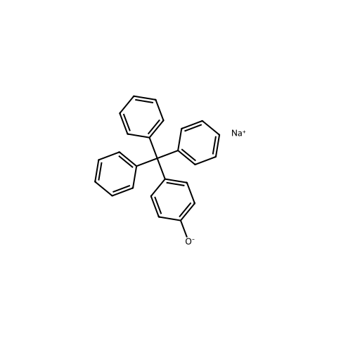 [Na+].[O-]c1ccc(C(c2ccccc2)(c2ccccc2)c2ccccc2)cc1